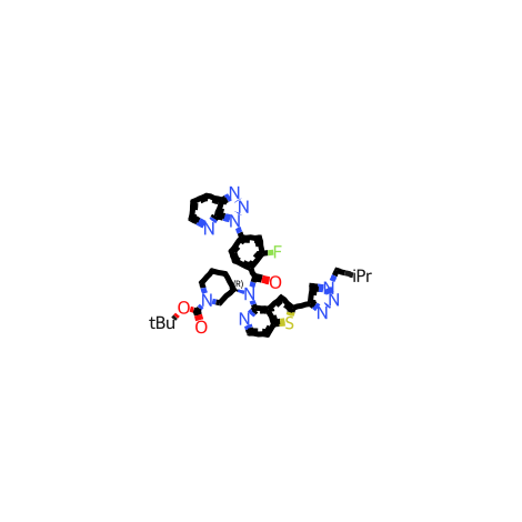 CC(C)Cn1cc(-c2cc3c(N(C(=O)c4ccc(-n5nnc6cccnc65)cc4F)[C@@H]4CCCN(C(=O)OC(C)(C)C)C4)nccc3s2)nn1